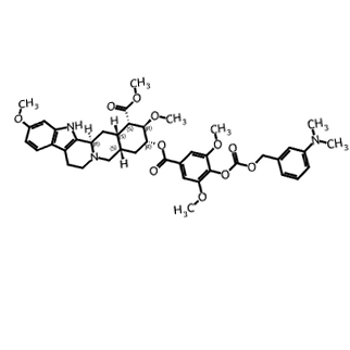 COC(=O)[C@H]1[C@H]2C[C@@H]3c4[nH]c5cc(OC)ccc5c4CCN3C[C@H]2C[C@@H](OC(=O)c2cc(OC)c(OC(=O)OCc3cccc(N(C)C)c3)c(OC)c2)[C@@H]1OC